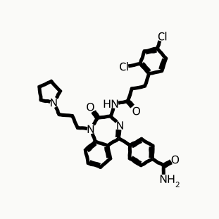 NC(=O)c1ccc(C2=NC(NC(=O)CCc3ccc(Cl)cc3Cl)C(=O)N(CCCN3CCCC3)c3ccccc32)cc1